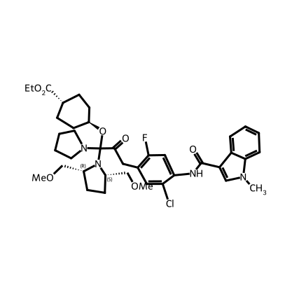 CCOC(=O)[C@H]1CC[C@H](OC(C(=O)Cc2cc(Cl)c(NC(=O)c3cn(C)c4ccccc34)cc2F)(N2CCCC2)N2[C@@H](COC)CC[C@H]2COC)CC1